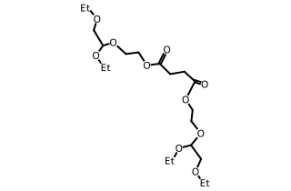 CCOCC(OCC)OCCOC(=O)CCC(=O)OCCOC(COCC)OCC